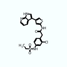 CCS(=O)(=O)Nc1ccc(CC(=O)Nc2cc(-c3c[nH]c4ncccc34)cs2)c(Cl)c1